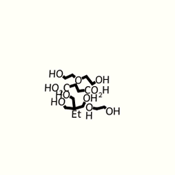 CCC(CO)(CO)CO.O=C(O)CCC(=O)O.OCCO.OCCOCCO